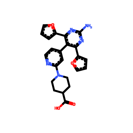 Nc1nc(-c2ccco2)c(-c2ccnc(N3CCC(C(=O)O)CC3)c2)c(-c2ccco2)n1